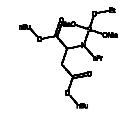 CCCCOC(=O)CC(C(=O)OCCCC)N(CCC)[Si](OC)(OC)OCC